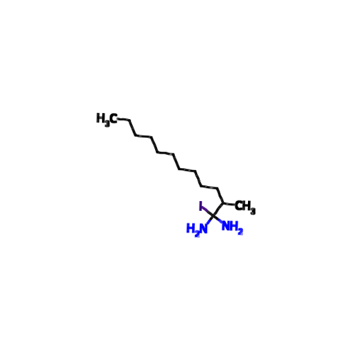 CCCCCCCCCCC(C)C(N)(N)I